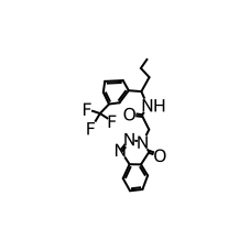 CCCC(NC(=O)Cn1nnc2ccccc2c1=O)c1cccc(C(F)(F)F)c1